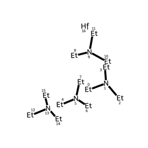 CCN(CC)CC.CCN(CC)CC.CCN(CC)CC.CCN(CC)CC.[Hf]